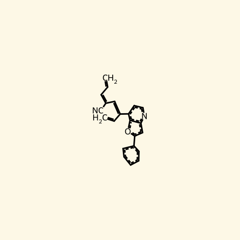 C=C/C=C(C#N)\C=C(/C=C)c1ccnc2cc(-c3ccccc3)oc12